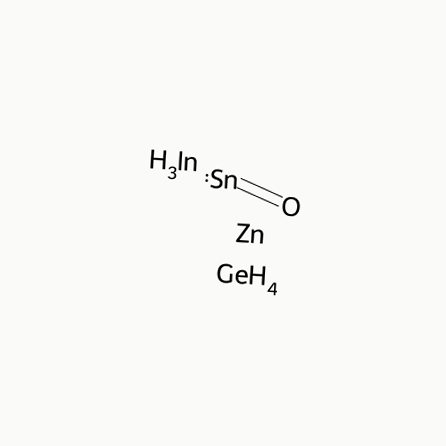 [GeH4].[InH3].[O]=[Sn].[Zn]